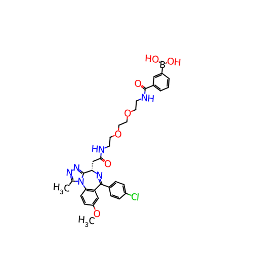 COc1ccc2c(c1)C(c1ccc(Cl)cc1)=N[C@@H](CC(=O)NCCOCCOCCNC(=O)c1cccc(B(O)O)c1)c1nnc(C)n1-2